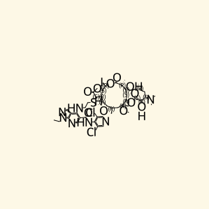 CCn1ncc2c(NCCS[C@@H]3C(=O)O[C@@]4(C)[C@H]3[C@@H](C)C(=O)[C@H](C)C[C@@](C)(OC)[C@H](O[C@@H]3O[C@H](C)C[C@H](N(C)C)[C@H]3O)[C@@H](C)[C@H](O)[C@@H](C)C(=O)O[C@@H]4I)c(C(=O)Nc3c(Cl)cncc3Cl)cnc21